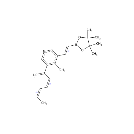 C=C(/C=C\C=C/C)c1cncc(/C=C/B2OC(C)(C)C(C)(C)O2)c1C